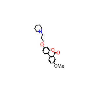 COc1ccc2c(c1)c(=O)oc1cc(OCCCN3CCCCC3)ccc12